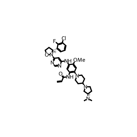 C=CC(=O)Nc1cc(Nc2cc(N3OCC[C@@H]3c3cccc(Cl)c3F)ncn2)c(OC)cc1N1CCC(N2CC[C@H](N(C)C)C2)CC1